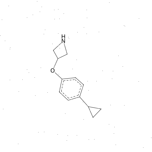 c1cc(C2CC2)ccc1OC1CNC1